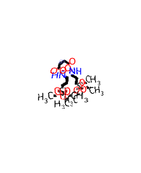 CCO[Si](CCCNOC(=O)/C=C\C(=O)ONCCC[Si](OCC)(OCC)OCC)(OCC)OCC